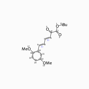 CCC(C)OC(=O)C(=O)/C=C/C=C/c1cc(OC)ccc1OC